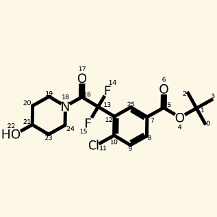 CC(C)(C)OC(=O)c1ccc(Cl)c(C(F)(F)C(=O)N2CCC(O)CC2)c1